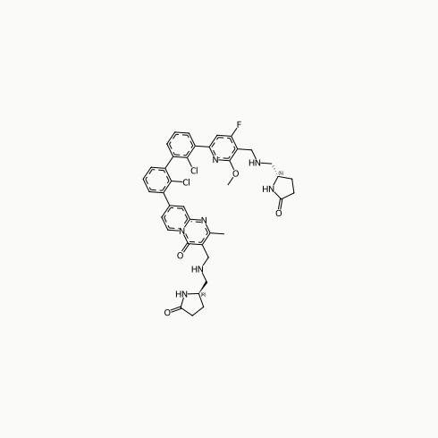 COc1nc(-c2cccc(-c3cccc(-c4ccn5c(=O)c(CNC[C@H]6CCC(=O)N6)c(C)nc5c4)c3Cl)c2Cl)cc(F)c1CNC[C@@H]1CCC(=O)N1